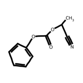 CC(C#N)OC(=O)Oc1ccccc1